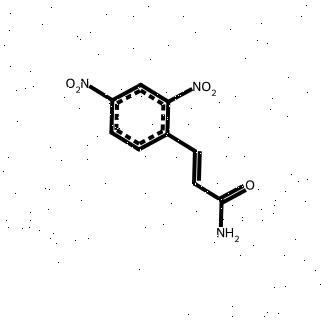 NC(=O)C=Cc1ccc([N+](=O)[O-])cc1[N+](=O)[O-]